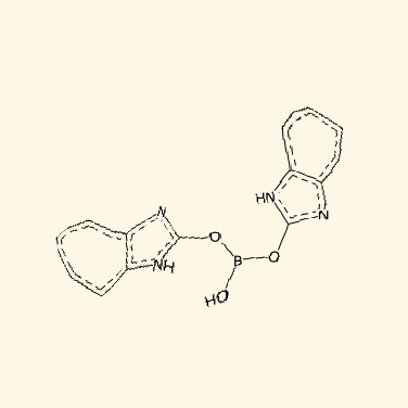 OB(Oc1nc2ccccc2[nH]1)Oc1nc2ccccc2[nH]1